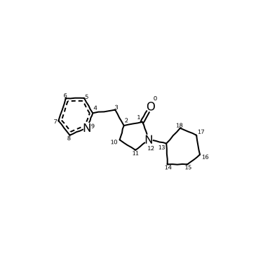 O=C1C(Cc2ccccn2)CCN1C1CCCCC1